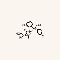 C=CCC(C)(C[C@H](c1cccc(Cl)c1)C(CO)c1ccc(Cl)cc1)C(=O)NC(CO)C(C)C